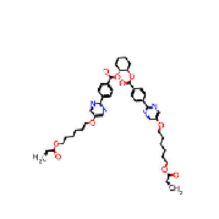 C=CC(=O)OCCCCCCOc1cnc(-c2ccc(C(=O)O[C@@H]3CCCC[C@H]3OC(=O)c3ccc(-c4ncc(OCCCCCCOC(=O)C=C)cn4)cc3)cc2)nc1